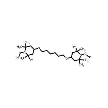 CC(C)ON1C(C)(C)CC(OCCCCCCOC2CC(C)(C)N(OC(C)C)C(C)(C(C)C)C2)CC1(C)C(C)C